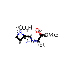 CCC(NCC1CCN1C(=O)O)C(=O)OC